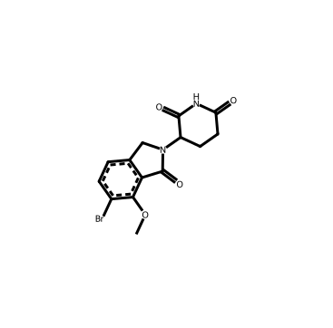 COc1c(Br)ccc2c1C(=O)N(C1CCC(=O)NC1=O)C2